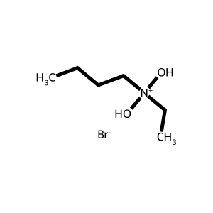 CCCC[N+](O)(O)CC.[Br-]